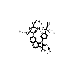 COc1ncc(-c2ccc3ncc4c(c3c2)n(-c2ccc(C(C)(C)C#N)nc2)c(=NC#N)n4C)c(OC)n1